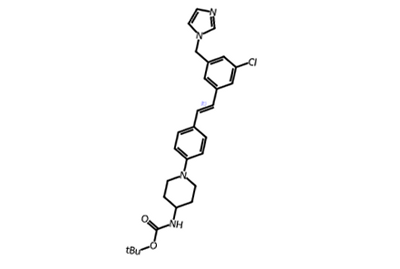 CC(C)(C)OC(=O)NC1CCN(c2ccc(/C=C/c3cc(Cl)cc(Cn4ccnc4)c3)cc2)CC1